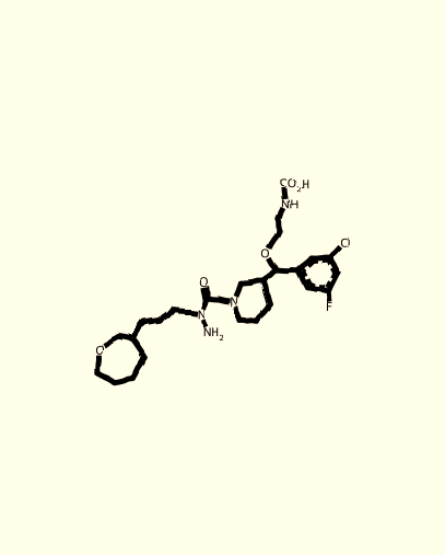 NN(CCCC1CCCCOC1)C(=O)N1CCCC(C(OCCNC(=O)O)c2cc(F)cc(Cl)c2)C1